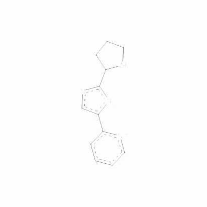 c1ccc(-c2cnc(C3CCCN3)[nH]2)nc1